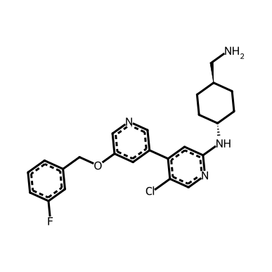 NC[C@H]1CC[C@H](Nc2cc(-c3cncc(OCc4cccc(F)c4)c3)c(Cl)cn2)CC1